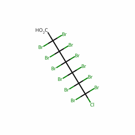 O=C(O)C(Br)(Br)C(Br)(Br)C(Br)(Br)C(Br)(Br)C(Br)(Br)C(Cl)(Br)Br